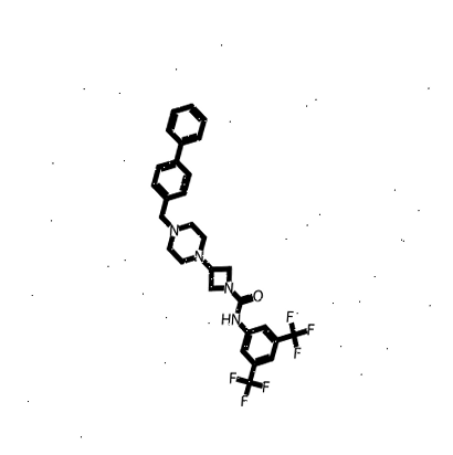 O=C(Nc1cc(C(F)(F)F)cc(C(F)(F)F)c1)N1CC(N2CCN(Cc3ccc(-c4ccccc4)cc3)CC2)C1